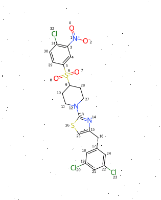 O=[N+]([O-])c1cc(S(=O)(=O)C2CCN(c3nc(Cc4cc(Cl)cc(Cl)c4)cs3)CC2)ccc1Cl